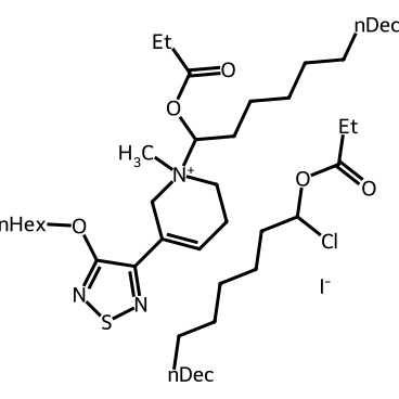 CCCCCCCCCCCCCCCC(Cl)OC(=O)CC.CCCCCCCCCCCCCCCC(OC(=O)CC)[N+]1(C)CCC=C(c2nsnc2OCCCCCC)C1.[I-]